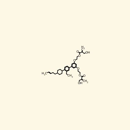 C=C(CO)C(=O)OCCOc1cc(OCCOC(=O)C(=C)CO)cc(-c2ccc(C3CCC(CC/C=C/C)CC3)c(CC)c2)c1